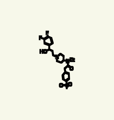 CCN(C(=O)Cc1ccc(S(C)(=O)=O)cc1)C1CCN(CCC(O)c2ccc(F)c(F)c2)CC1